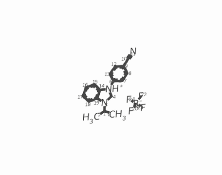 CC(C)N1C[NH+](c2ccc(C#N)cc2)c2ccccc21.F[B-](F)(F)F